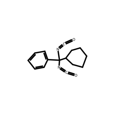 O=C=NC(N=C=O)(c1ccccc1)C1CCCCC1